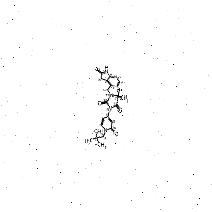 CC(C)(C)Cn1ccc(N2C(=O)N(Cc3ccnc4c3CC(=O)N4)C(C)(C)C2=O)cc1=O